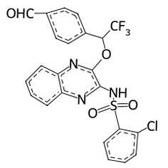 O=Cc1ccc(C(Oc2nc3ccccc3nc2NS(=O)(=O)c2ccccc2Cl)C(F)(F)F)cc1